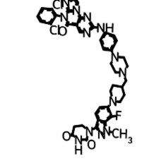 Cn1nc(N2CCC(=O)NC2=O)c2ccc(N3CCC(CN4CCN(c5ccc(Nc6ncc7c(=O)n(-c8c(Cl)cccc8Cl)c8nccn8c7n6)cc5)CC4)CC3)c(F)c21